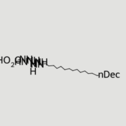 CCCCCCCCCCCCCCCCCCCCCCCCNNNNNNC(=O)O